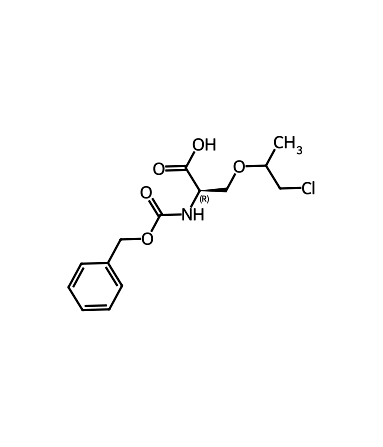 CC(CCl)OC[C@@H](NC(=O)OCc1ccccc1)C(=O)O